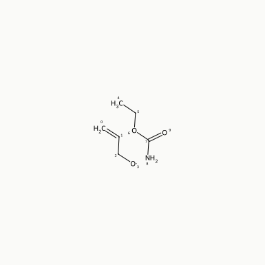 C=CC[O].CCOC(N)=O